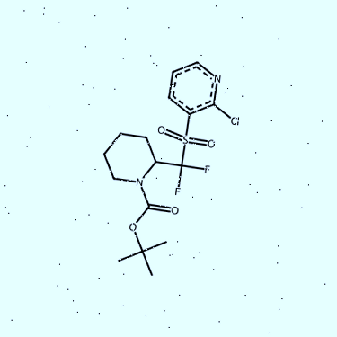 CC(C)(C)OC(=O)N1CCCCC1C(F)(F)S(=O)(=O)c1cccnc1Cl